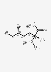 CO[C@@](C)(C(C)=O)[C@@H](O)[C@H](O)[C@H](O)CO